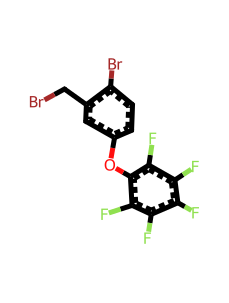 Fc1c(F)c(F)c(Oc2ccc(Br)c(CBr)c2)c(F)c1F